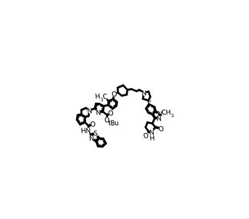 Cc1c(OC2CCC(CCCN3CC[C@@H](c4ccc5c(C6CCC(=O)NC6=O)nn(C)c5c4)C3)CC2)cccc1-c1ccc(N2CCc3cccc(C(=O)Nc4nc5ccccc5s4)c3C2)nc1C(=O)OC(C)(C)C